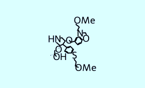 COCCCSc1ccc(C2[C@@H](OCc3ccc4c(c3)N(CCCOC)CCO4)CNC[C@H]2OC[C@@H](C)O)cc1